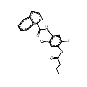 CCCC(=O)Oc1cc(Cl)c(NC(=O)c2nccc3ccccc23)cc1F